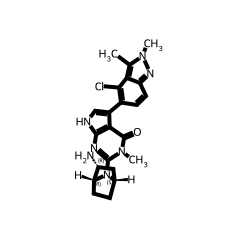 Cc1c2c(Cl)c(-c3c[nH]c4nc(N5[C@H]6CC[C@@H]5[C@H](N)C6)n(C)c(=O)c34)ccc2nn1C